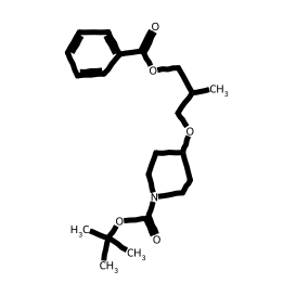 CC(COC(=O)c1ccccc1)COC1CCN(C(=O)OC(C)(C)C)CC1